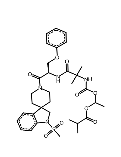 CC(OC(=O)NC(C)(C)C(=O)N[C@H](COc1ccccc1)C(=O)N1CCC2(CC1)CN(S(C)(=O)=O)c1ccccc12)OC(=O)C(C)C